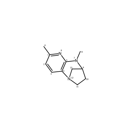 Cc1ccc2c(n1)N(C)C1CCN2C1